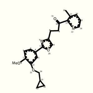 COc1ccc(-c2nc(CCC(=O)c3ncccc3C)co2)cc1OCC1CC1